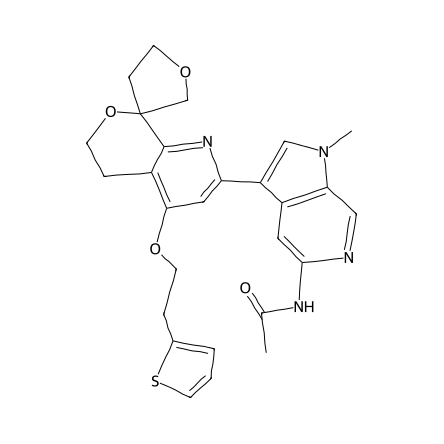 CC(=O)Nc1cc2c(-c3cc(OCCc4cccs4)c4c(n3)C3(CCOC3)OCC4)cn(C)c2cn1